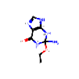 CCOC1(N)NC(=O)c2nc[nH]c2N1